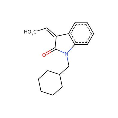 O=C(O)C=C1C(=O)N(CC2CCCCC2)c2ccccc21